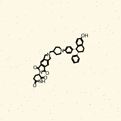 O=C1CCC(N2C(=O)c3cc4c(cc3C2=O)CN(CC2CCN(c3ccc([C@@H]5c6ccc(O)cc6CC[C@@H]5c5ccccc5)cc3)CC2)C4)C(=O)N1